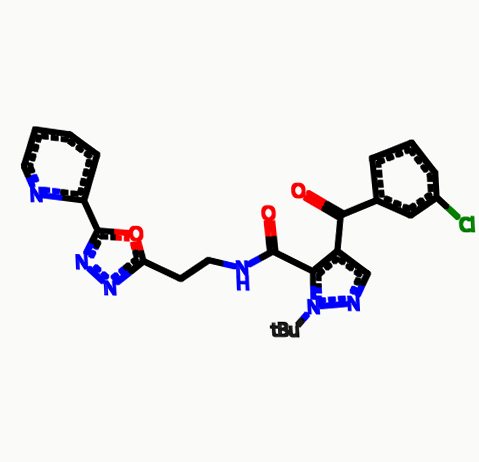 CC(C)(C)n1ncc(C(=O)c2cccc(Cl)c2)c1C(=O)NCCc1nnc(-c2ccccn2)o1